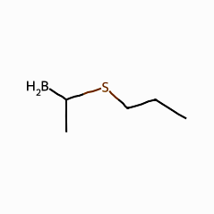 BC(C)SCCC